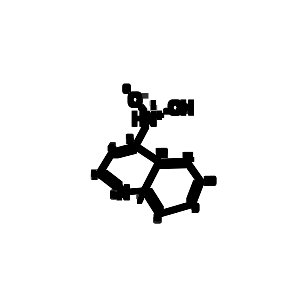 [O-][NH+](O)c1ccnc2ccccc12